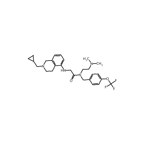 CN(C)CCN(Cc1ccc(OC(F)(F)F)cc1)C(=O)CNc1cccc2c1CCN(CC1CC1)C2